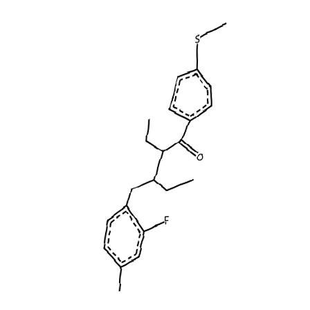 CCC(Cc1ccc(C)cc1F)C(CC)C(=O)c1ccc(SC)cc1